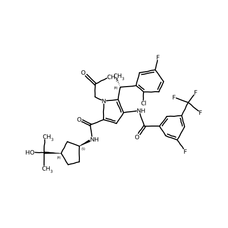 CC(=O)Cn1c(C(=O)N[C@H]2CC[C@@H](C(C)(C)O)C2)cc(NC(=O)c2cc(F)cc(C(F)(F)F)c2)c1[C@H](C)c1cc(F)ccc1Cl